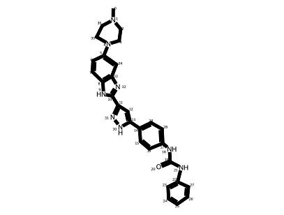 CN1CCN(c2ccc3[nH]c(-c4cc(-c5ccc(NC(=O)Nc6ccccc6)cc5)[nH]n4)nc3c2)CC1